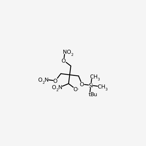 CC(C)(C)[Si](C)(C)OCC(CO[N+](=O)[O-])(CO[N+](=O)[O-])C([O])[N+](=O)[O-]